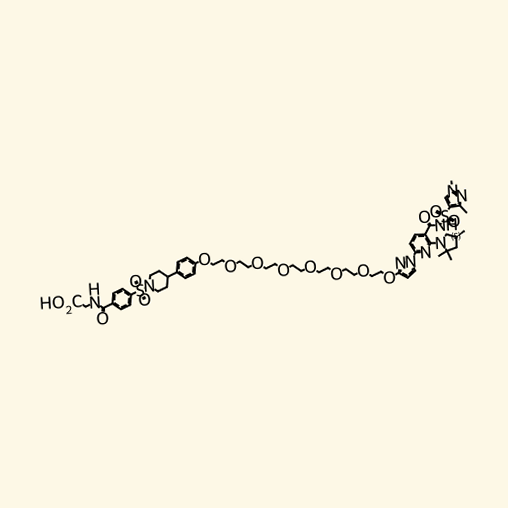 Cc1nn(C)cc1S(=O)(=O)NC(=O)c1ccc(-n2ccc(OCCOCCOCCOCCOCCOCCOCCOc3ccc(C4CCN(S(=O)(=O)c5ccc(C(=O)NCC(=O)O)cc5)CC4)cc3)n2)nc1N1C[C@@H](C)CC1(C)C